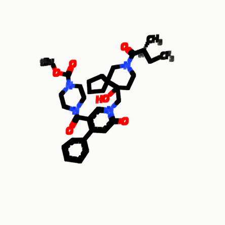 C[C@H](CC(F)(F)F)C(=O)N1CCC(O)(Cn2cc(C(=O)N3CCN(C(=O)OC(C)(C)C)CC3)c(-c3ccccc3)cc2=O)C2(CCCC2)C1